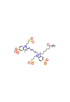 CC(C)C(=O)CCCCCC1(C)C(/C=C/C=C/C=C2/N(CCC[SH](=O)=O)c3ccc(S(=O)(=O)[O-])cc3C2(C)C)=[N+](CCC[SH](=O)=O)c2ccc([SH](=O)=O)cc21